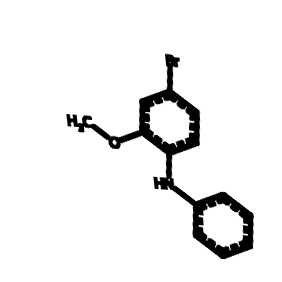 COc1cc(Br)ccc1Nc1ccccc1